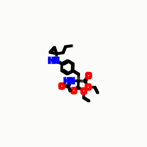 CCCC1(Nc2ccc(CC(NC(C)=O)(C(=O)OCC)C(=O)OCC)cc2)CC1